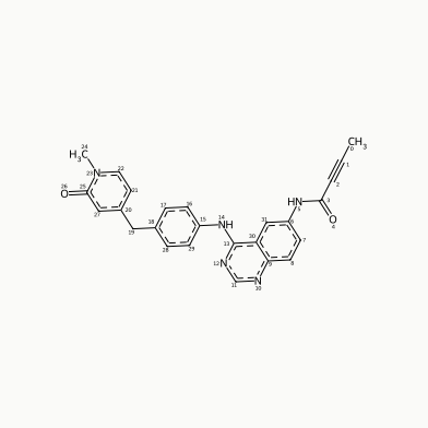 CC#CC(=O)Nc1ccc2ncnc(Nc3ccc(Cc4ccn(C)c(=O)c4)cc3)c2c1